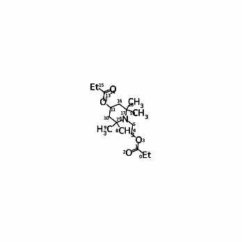 CCC(=O)OCCN1C(C)(C)CC(OC(=O)CC)CC1(C)C